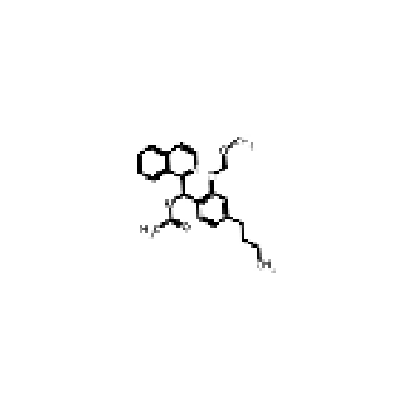 CCCCc1ccc(C(OC(C)=O)c2nccc3ccccc23)c(OCOC)c1